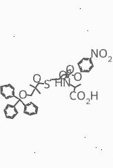 CC(NP(=O)(OCCSC(=O)C(C)(C)COC(c1ccccc1)(c1ccccc1)c1ccccc1)Oc1ccc([N+](=O)[O-])cc1)C(=O)O